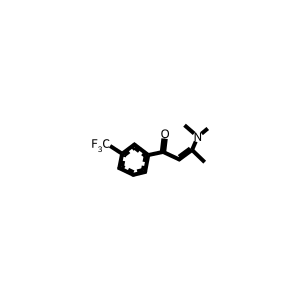 C/C(=C/C(=O)c1cccc(C(F)(F)F)c1)N(C)C